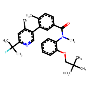 Cc1ccc(C(=O)N(C)c2ccccc2OCC(C)(C)C(=O)O)cc1-c1cnc(C(C)(C)F)cc1C#N